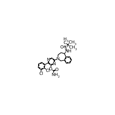 CC(C)(C)[S@@+]([O-])NC1CCN(c2cnc(-c3cccc(Cl)c3Cl)c(OC(N)=O)n2)Cc2ccccc21